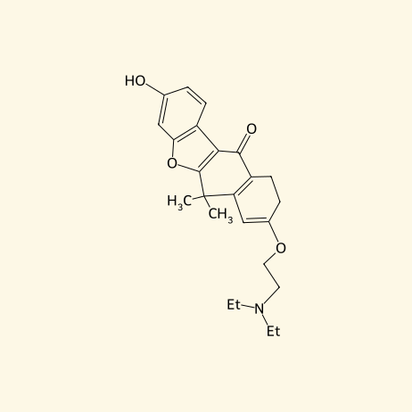 CCN(CC)CCOC1=CC2=C(CC1)C(=O)c1c(oc3cc(O)ccc13)C2(C)C